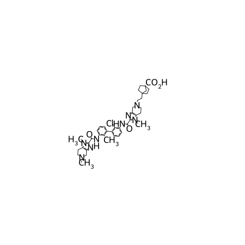 Cc1c(NC(=O)c2nc3c(n2C)CCN(C)C3)cccc1-c1cccc(NC(=O)c2nc3c(n2C)CCN(CCC24CCC(C(=O)O)(CC2)C4)C3)c1Cl